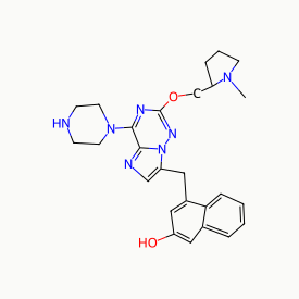 CN1CCCC1COc1nc(N2CCNCC2)c2ncc(Cc3cc(O)cc4ccccc34)n2n1